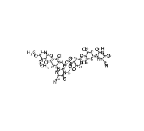 COc1cnc(Oc2c(Cl)cc(-n3nc(C#N)c(=O)n(CCOc4cnc(Oc5c(Cl)cc(-n6nc(C#N)c(=O)[nH]c6=O)cc5Cl)cc4S(C)(=O)=O)c3=O)cc2Cl)cc1SC